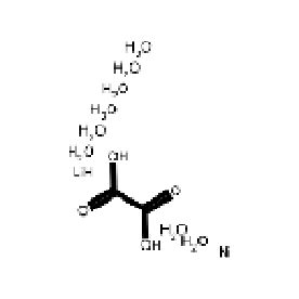 O.O.O.O.O.O.O.O.O=C(O)C(=O)O.[LiH].[Ni]